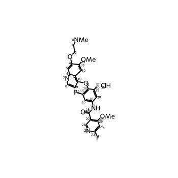 CNCCOc1cc2nccc(Oc3c(F)cc(NC(=O)c4cnc(F)cc4OC)cc3F)c2cc1OC.Cl